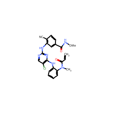 C=CC(=O)N(C)c1ccccc1Nc1nc(Nc2cc(C(=O)NOC)ccc2C#N)ncc1Cl